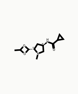 CC1OC([C@@H]2C[C@@H](NC(=O)C3CC3)CN2C)O1